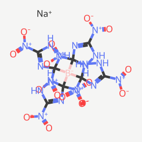 O=[N+]([O-])C1=NC([N+](=O)[O-])([B-](C2([N+](=O)[O-])N=C([N+](=O)[O-])NN2)(C2([N+](=O)[O-])N=C([N+](=O)[O-])NN2)C2([N+](=O)[O-])N=C([N+](=O)[O-])NN2)NN1.[Na+]